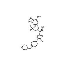 COc1cc(-c2[nH]nc(-c3nc(C)c(C4CCN(CC5CCOCC5)CC4)s3)c2CC(F)(F)F)cn2ncnc12